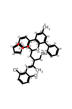 C/C(=N\c1c(Cl)cccc1Cl)C(CC(Cn1cccc1)Oc1c(-c2ccccc2)cc(C)cc1-c1ccccc1)CC(C)(C)C